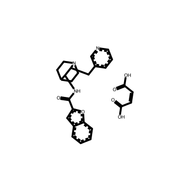 O=C(NC1C2CCN(CC2)C1Cc1cccnc1)c1cc2ccccc2o1.O=C(O)/C=C\C(=O)O